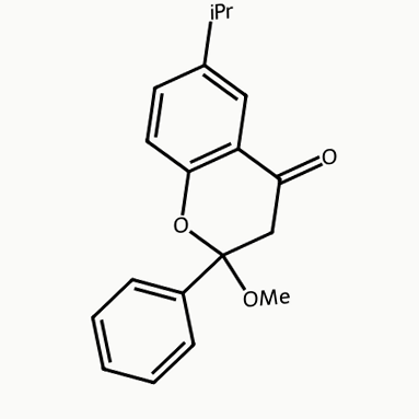 COC1(c2ccccc2)CC(=O)c2cc(C(C)C)ccc2O1